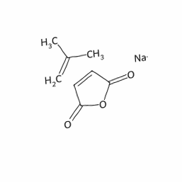 C=C(C)C.O=C1C=CC(=O)O1.[Na]